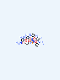 Nc1ccccc1Oc1cccc(Op2npn(Oc3ccccc3N)p(Oc3ccccc3N)n2Oc2ccccc2N)c1Oc1ccccc1N